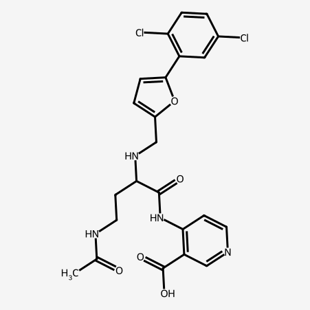 CC(=O)NCCC(NCc1ccc(-c2cc(Cl)ccc2Cl)o1)C(=O)Nc1ccncc1C(=O)O